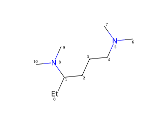 CCC(CCCN(C)C)N(C)C